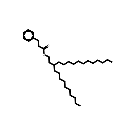 CCCCCCCCCCCCC(CCCCCCCCCC)CCOC(=O)CCc1ccccc1